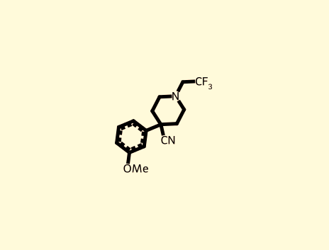 COc1cccc(C2(C#N)CCN(CC(F)(F)F)CC2)c1